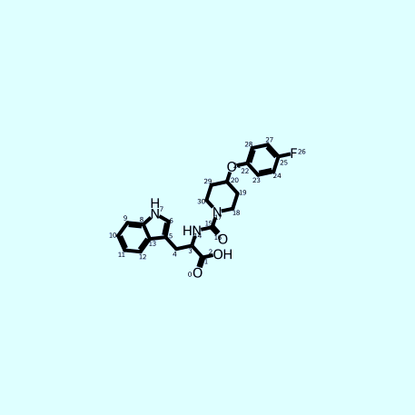 O=C(O)C(Cc1c[nH]c2ccccc12)NC(=O)N1CCC(Oc2ccc(F)cc2)CC1